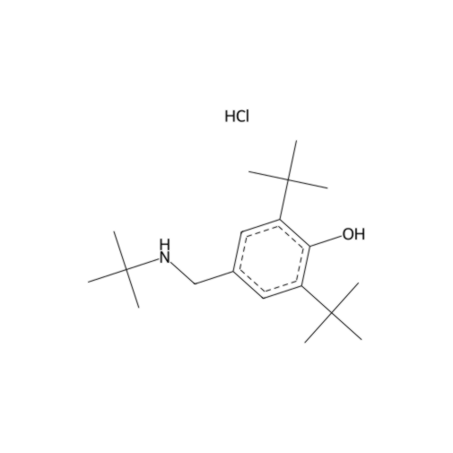 CC(C)(C)NCc1cc(C(C)(C)C)c(O)c(C(C)(C)C)c1.Cl